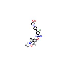 CC(=O)NC(C)(C)c1ccc(Oc2nc3cc(-c4ccc(N5CCC(O)C5)cc4)c(Cl)cc3[nH]2)cc1